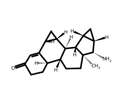 C[C@]12CC[C@H]3[C@@H]([C@H]4C[C@H]4C4=CC(=O)CC[C@@H]43)[C@@H]1[C@@H]1C[C@@H]1[C@@H]2N